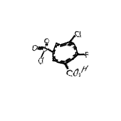 O=C(O)c1cc(S(=O)(=O)Cl)cc(Cl)c1F